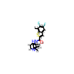 Cc1c(F)c(F)cc2cc(C(=O)N[C@H]3C4CCN(CC4)C3(C)C)sc12